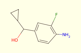 Nc1ccc(C(O)C2CC2)cc1F